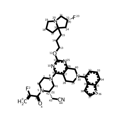 C=C(F)C(=O)N1CCN(c2nc(OCCCC34CCCN3C[C@H](F)C4)nc3c2CCN(c2cccc4sccc24)C3)C[C@@H]1CC#N